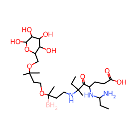 BC(C)(CCNC(C)(CC)C(=O)C(CCC(=O)O)NC(N)CC)OCCC(C)(C)OCC1OC(O)C(O)C(O)C1O